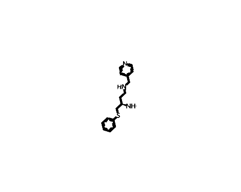 [NH][C@H](CCNCc1ccncc1)CSc1ccccc1